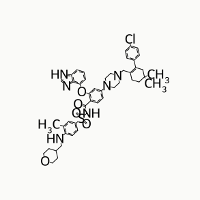 Cc1cc(S(=O)(=O)NC(=O)c2ccc(N3CCN(CC4=C(c5ccc(Cl)cc5)CC(C)(C)CC4)CC3)cc2Oc2cccc3[nH]cnc23)ccc1NCC1CCOCC1